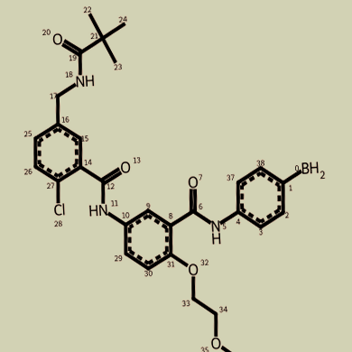 Bc1ccc(NC(=O)c2cc(NC(=O)c3cc(CNC(=O)C(C)(C)C)ccc3Cl)ccc2OCCOC)cc1